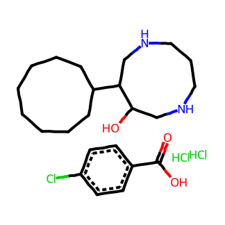 Cl.Cl.O=C(O)c1ccc(Cl)cc1.OC1CNCCCNCC1C1CCCCCCCC1